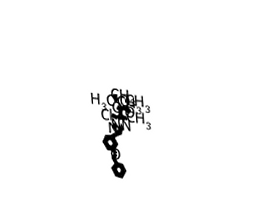 COC(=O)C(OC(C)(C)C)c1c(C)nc2cc(-c3cccc(OCc4ccccc4)c3)nn2c1Cl